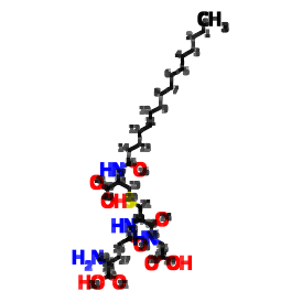 CCCCCCCCCCCCCCCC(=O)NC(CSC[C@H](NC(=O)CC[C@H](N)C(=O)O)C(=O)NCC(=O)O)C(=O)O